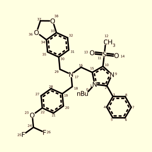 CCCCn1c(-c2ccccc2)nc(S(C)(=O)=O)c1CN(Cc1ccc(OC(F)F)cc1)Cc1ccc2c(c1)OCO2